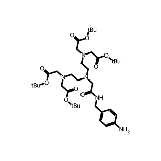 CC(C)(C)OC(=O)CN(CCN(CCN(CC(=O)OC(C)(C)C)CC(=O)OC(C)(C)C)CC(=O)NCc1ccc(N)cc1)CC(=O)OC(C)(C)C